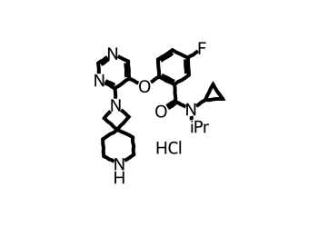 CC(C)N(C(=O)c1cc(F)ccc1Oc1cncnc1N1CC2(CCNCC2)C1)C1CC1.Cl